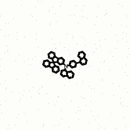 c1ccc2c(c1)-c1ccccc1C21c2ccccc2-c2ccc(N(c3ccc(-c4cccc5ccccc45)cc3)c3cccc4ccccc34)cc21